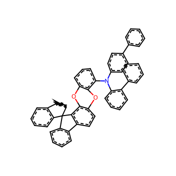 c1ccc(-c2ccc(N(c3ccccc3-c3ccccc3)c3cccc4c3Oc3ccc5c(c3O4)C3(c4ccccc4-c4ccccc43)c3ccccc3-5)cc2)cc1